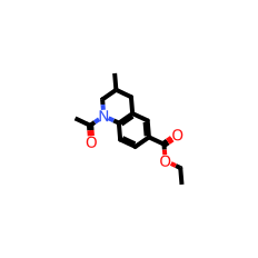 CCOC(=O)c1ccc2c(c1)CC(C)CN2C(C)=O